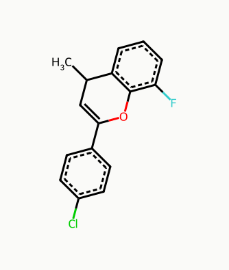 CC1C=C(c2ccc(Cl)cc2)Oc2c(F)cccc21